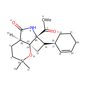 COC(=O)[C@]12NC(=O)[C@@H]3CC[Si](C)(C)O[C@@]31CC2[C@@H]1C=CCCC1